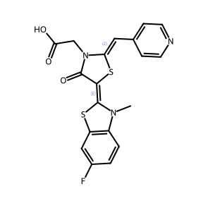 CN1/C(=c2\s/c(=C\c3ccncc3)n(CC(=O)O)c2=O)Sc2cc(F)ccc21